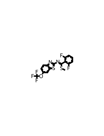 CSC(=Nc1nc2ccc(OC(F)(F)F)cc2s1)c1c(F)cccc1F